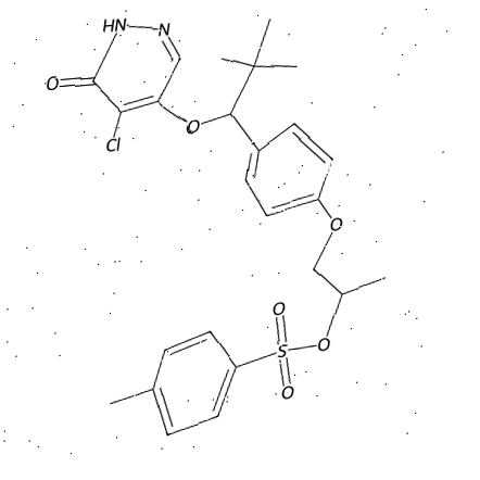 Cc1ccc(S(=O)(=O)OC(C)COc2ccc(C(Oc3cn[nH]c(=O)c3Cl)C(C)(C)C)cc2)cc1